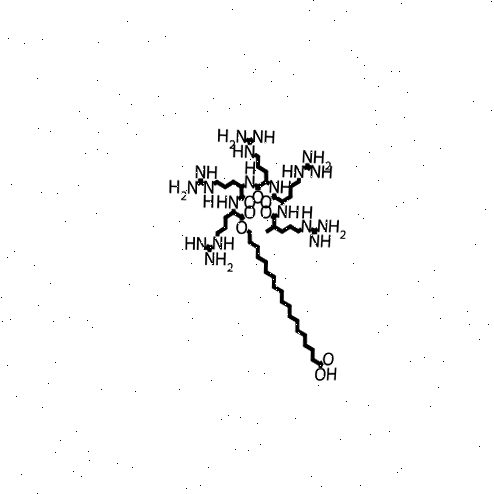 CC(CCCNC(=N)N)C(=O)NC(CCCNC(=N)N)C(=O)NC(CCCNC(=N)N)C(=O)NC(CCCNC(=N)N)C(=O)NC(CCCNC(=N)N)C(=O)OCCCCCCCCCCCCCCCCCCC(=O)O